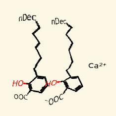 CCCCCCCCCCCCCCCCc1cccc(C(=O)[O-])c1O.CCCCCCCCCCCCCCCCc1cccc(C(=O)[O-])c1O.[Ca+2]